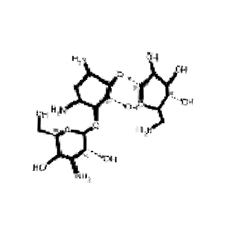 NCC1O[C@H](OC2C(N)CC(N)C(OC3O[C@H](CO)C(O)C(N)[C@H]3O)[C@H]2O)C(O)C(O)[C@@H]1O